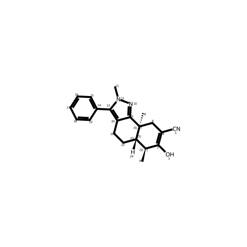 C[C@@H]1C(O)=C(C#N)C[C@]2(C)c3nn(C)c(-c4ccccc4)c3CC[C@@H]12